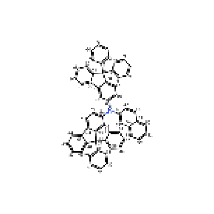 c1ccc(C2(c3ccccc3)c3ccccc3-c3cc(N(c4ccc5c(c4)C(c4ccccc4)(c4ccccc4)c4ccccc4-5)c4ccc5ccccc5c4)ccc32)cc1